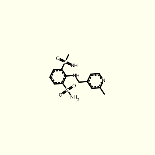 Cc1cc(CNc2c(S(C)(=N)=O)cccc2S(N)(=O)=O)ccn1